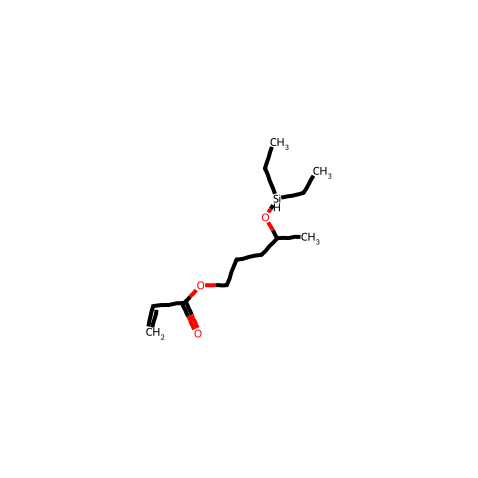 C=CC(=O)OCCCC(C)O[SiH](CC)CC